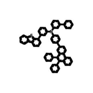 c1ccc(-c2cccc(N(c3ccc(-c4ccc5c(c4)c(-c4ccccc4)c(-c4ccccc4)c4ccccc45)cc3)c3cccc(-c4cccc5c4sc4ccccc45)c3)c2)cc1